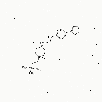 CC(C)(C)CCN1CCC2(CC1)CC2CNc1ccc(C2=CCCC2)nn1